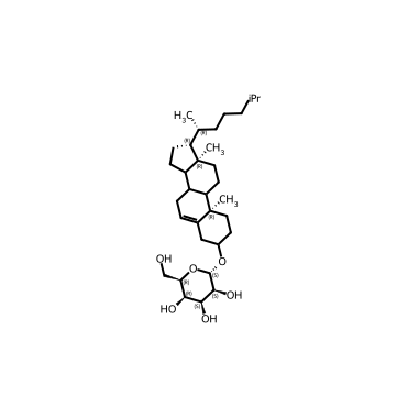 CC(C)CCC[C@@H](C)[C@H]1CCC2C3CC=C4CC(O[C@H]5O[C@H](CO)[C@H](O)[C@H](O)[C@@H]5O)CC[C@]4(C)C3CC[C@@]21C